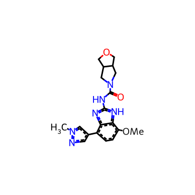 COc1ccc(-c2cnn(C)c2)c2nc(NC(=O)N3CC4COCC4C3)[nH]c12